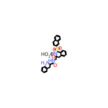 N[C@@H](Cc1ccccc1)C(=O)NCC1(OC(=O)O)Cc2ccccc2C(S(=O)(=O)c2ccc3ccccc3c2)N1